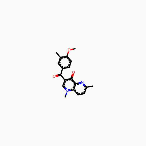 COc1ccc(C(=O)c2cn(C)c3ccc(C)nc3c2=O)cc1C